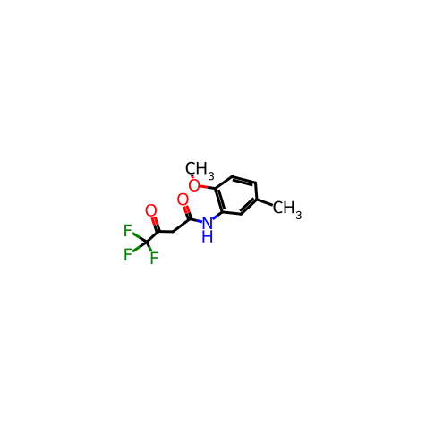 COc1ccc(C)cc1NC(=O)CC(=O)C(F)(F)F